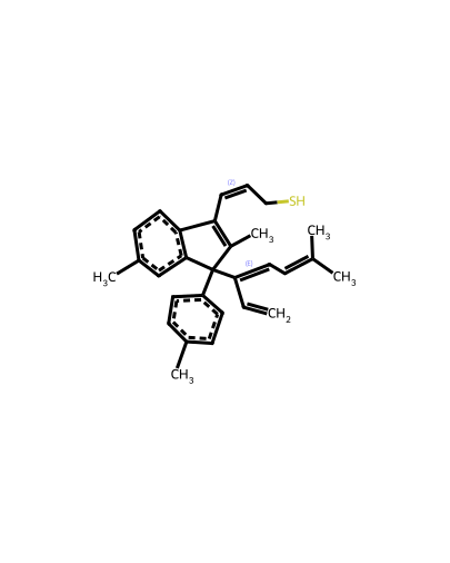 C=C/C(=C\C=C(C)C)C1(c2ccc(C)cc2)C(C)=C(/C=C\CS)c2ccc(C)cc21